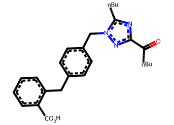 CCCCC(=O)c1nc(CCCC)n(Cc2ccc(Cc3ccccc3C(=O)O)cc2)n1